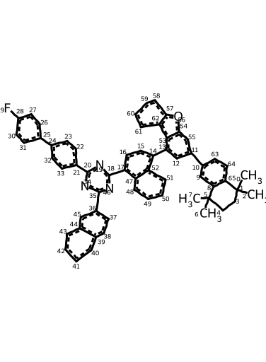 CC1(C)CCC(C)(C)c2cc(-c3cc(-c4ccc(-c5nc(-c6ccc(-c7ccc(F)cc7)cc6)nc(-c6ccc7ccccc7c6)n5)c5ccccc45)c4c(c3)oc3ccccc34)ccc21